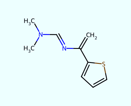 C=C(/N=C/N(C)C)c1cccs1